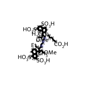 CC[N+]1=C(/C=C/C=C/C=C2/N(CCCCCC(=O)O)c3ccc4c(S(=O)(=O)O)cc(S(=O)(=O)O)cc4c3C2(C)CCOC)C(C)(CCOC)c2c1ccc1c(S(=O)(=O)O)cc(S(=O)(=O)O)cc21